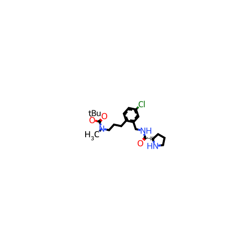 CN(CCCc1ccc(Cl)cc1CNC(=O)[C@@H]1CCCN1)C(=O)OC(C)(C)C